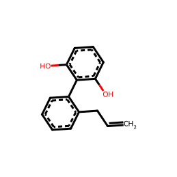 C=CCc1ccccc1-c1c(O)cccc1O